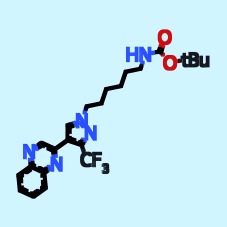 CC(C)(C)OC(=O)NCCCCCCn1cc(-c2cnc3ccccc3n2)c(C(F)(F)F)n1